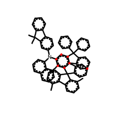 Cc1cccc2c1-c1cccc(C)c1C21c2ccccc2-c2cccc(-c3cccc4cccc(N(c5ccc6c(c5)C(C)(C)c5ccccc5-6)c5ccc6c(c5)C(c5ccccc5)(c5ccccc5)c5ccccc5-6)c34)c21